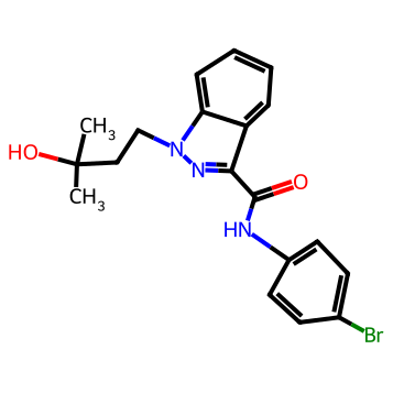 CC(C)(O)CCn1nc(C(=O)Nc2ccc(Br)cc2)c2ccccc21